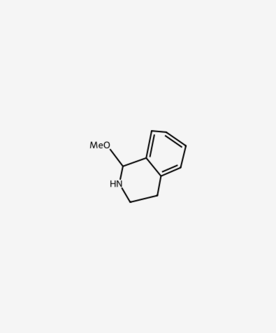 COC1NCCc2ccccc21